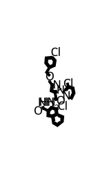 NC(=O)c1cc2ccccc2c(Cl)c1NC(=O)c1cc(COCc2ccc(Cl)cc2)nn1-c1ncccc1Cl